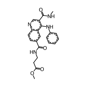 CNC(=O)c1cnc2ccc(C(=O)NCCC(=O)OC)cc2c1Nc1ccccc1